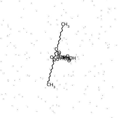 CCCCCCCCCCCCOC(=O)CC(C(=O)OCCCCCCCCCCCC)S(=O)(=O)O.N.N.O=S(=O)(O)O